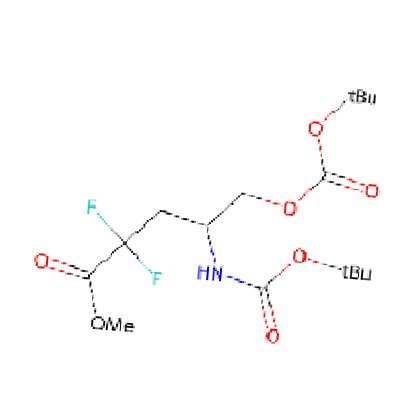 COC(=O)C(F)(F)CC(COC(=O)OC(C)(C)C)NC(=O)OC(C)(C)C